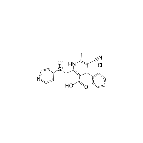 CC1=C(C#N)C(c2ccccc2Cl)C(C(=O)O)=C(C[S+]([O-])c2ccncc2)N1